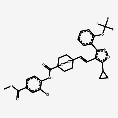 COC(=O)c1ccc(NC(=O)C23CCC(C=Cc4c(-c5ccccc5OC(F)(F)F)noc4C4CC4)(CC2)CC3)c(Cl)c1